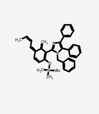 C=c1c(-c2nc(-c3ccccc3)c(-c3ccccc3)n2Cc2ccccc2)c(O[Si](C)(C)C(C)(C)C)cc/c1=C/C=C\C